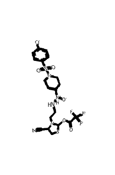 N#CC1CSC(OC(=O)C(F)(F)F)N1CCN[NH+]([O-])C1CCN(S(=O)(=O)c2ccc(Cl)cc2)CC1